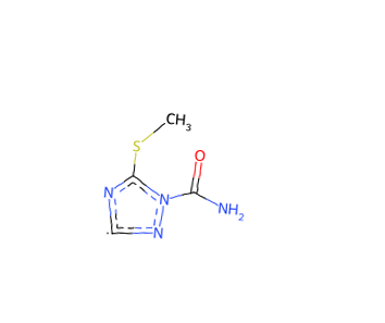 CSc1n[c]nn1C(N)=O